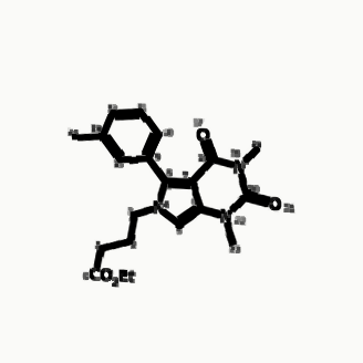 CCOC(=O)CCCn1cc2c(c1-c1cccc(C)c1)c(=O)n(C)c(=O)n2C